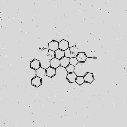 CC(C)(C)c1ccc2c(c1)n1c3c(ccc4oc5ccccc5c43)c3c1n2-c1c2c(c4c5c1C(C)(C)CCC5(C)CCC4(C)C)Oc1c(cccc1-c1ccccc1-c1ccccc1)B23